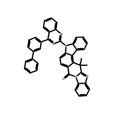 CC1(C)c2c(ccc3c2c2ccccc2n3-c2nc(-c3cccc(-c4ccccc4)c3)c3ccccc3n2)C(=O)n2c1nc1ccccc12